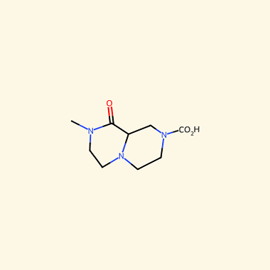 CN1CCN2CCN(C(=O)O)CC2C1=O